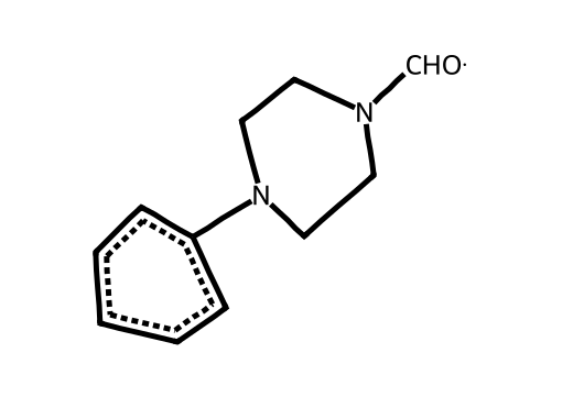 O=[C]N1CCN(c2ccccc2)CC1